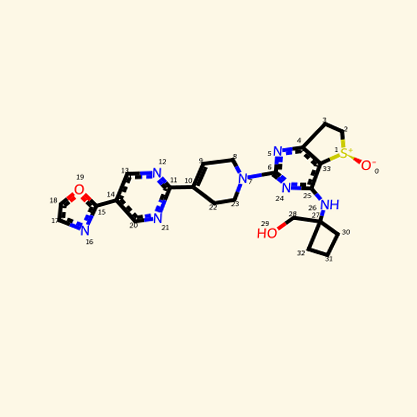 [O-][S@+]1CCc2nc(N3CC=C(c4ncc(-c5ncco5)cn4)CC3)nc(NC3(CO)CCC3)c21